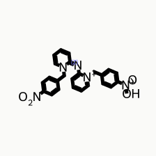 O=[N+]([O-])c1ccc(Cn2cccc/c2=N/c2cccc[n+]2Cc2ccc([N+](=O)O)cc2)cc1